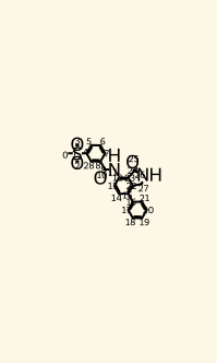 CS(=O)(=O)c1cccc(C(=O)Nc2ccc(-c3ccccc3)c3c2C(=O)NC3)c1